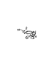 CN(C)CCCOc1ccc(-c2cc3c(cc2F)ncc2c3n(C3CCOCC3)c(=O)n2C)cc1